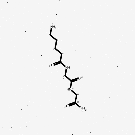 NCCCCC(=O)NCC(=O)NCC(N)=O